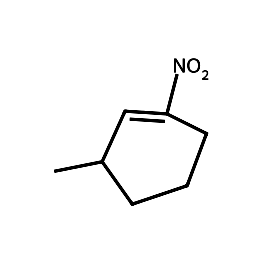 CC1C=C([N+](=O)[O-])CCC1